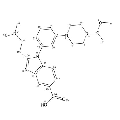 COC(C)N1CCN(c2cccc(-n3c(CCN(C)C)nc4cc(C(=O)O)ccc43)c2)CC1